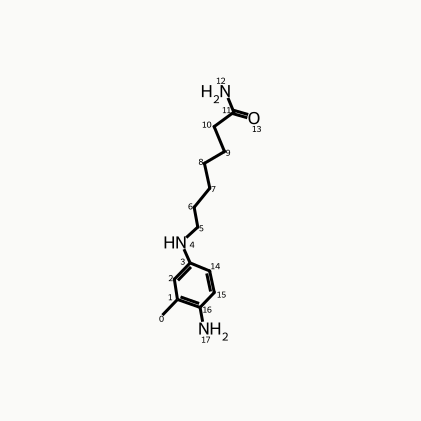 Cc1cc(NCCCCCCC(N)=O)ccc1N